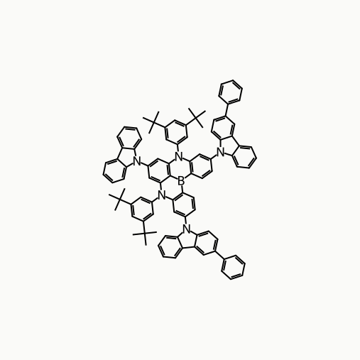 CC(C)(C)c1cc(N2c3cc(-n4c5ccccc5c5cc(-c6ccccc6)ccc54)ccc3B3c4ccc(-n5c6ccccc6c6cc(-c7ccccc7)ccc65)cc4N(c4cc(C(C)(C)C)cc(C(C)(C)C)c4)c4cc(-n5c6ccccc6c6ccccc65)cc2c43)cc(C(C)(C)C)c1